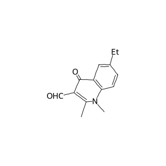 CCc1ccc2c(c1)c(=O)c(C=O)c(C)n2C